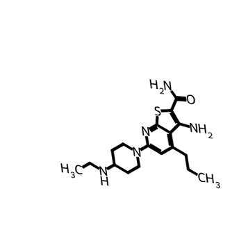 CCCc1cc(N2CCC(NCC)CC2)nc2sc(C(N)=O)c(N)c12